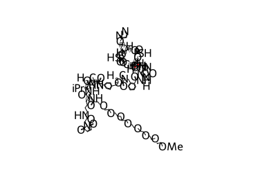 COCCOCCOCCOCCOCCOCCOCCOCCC(=O)N[C@@H](CCCCNC(=O)CN1C(=O)C=CC1=O)C(=O)N[C@H](C(=O)N[C@@H](C)C(=O)Nc1ccc(COC(=O)N(C)Cc2ccccc2C(=O)Nc2nc3c(ncn3[C@@H]3O[C@@H]4CO[P@@](=O)(S)O[C@H]5C[C@H](Oc6ccncn6)C[C@@H]5COP(=O)(S)O[C@@H]3[C@@H]4O)c(=O)[nH]2)cc1)C(C)C